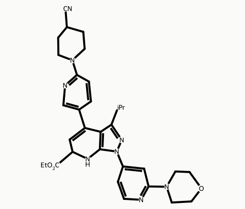 CCOC(=O)C1C=C(c2ccc(N3CCC(C#N)CC3)nc2)c2c(C(C)C)nn(-c3ccnc(N4CCOCC4)c3)c2N1